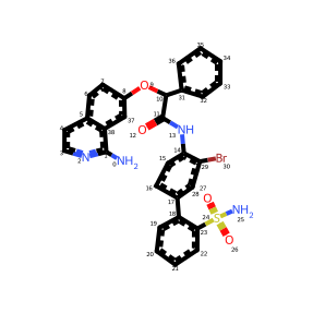 Nc1nccc2ccc(OC(C(=O)Nc3ccc(-c4ccccc4S(N)(=O)=O)cc3Br)c3ccccc3)cc12